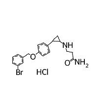 Cl.NC(=O)CCNC1CC1c1ccc(OCc2cccc(Br)c2)cc1